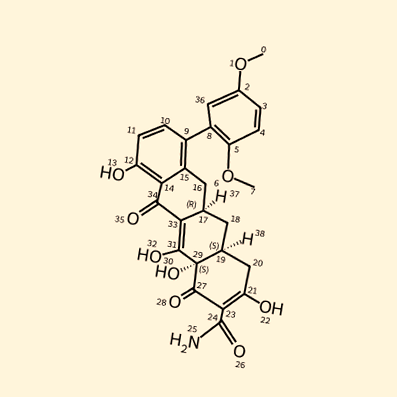 COc1ccc(OC)c(-c2ccc(O)c3c2C[C@H]2C[C@H]4CC(O)=C(C(N)=O)C(=O)[C@@]4(O)C(O)=C2C3=O)c1